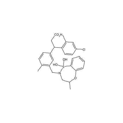 Cc1ccc(C(CC(=O)O)c2ccc(Cl)cc2C)cc1CN1CC(C)Oc2ccccc2S1(O)O